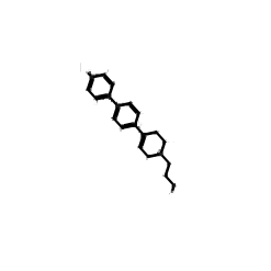 CCCCC1CC=C(c2ccc(-c3ccc(F)cc3)cc2)CC1